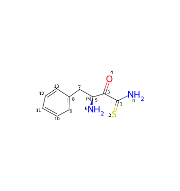 NC(=S)C(=O)[C@@H](N)Cc1ccccc1